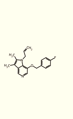 C=CCn1c(C)c(C)c2cncc(OCc3ccc(F)cc3)c21